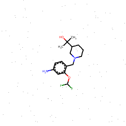 CC(C)(O)C1CCCN(Cc2ccc(N)cc2OC(F)F)C1